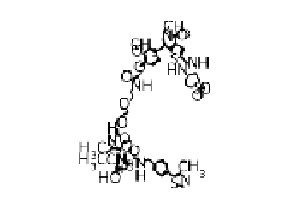 COc1cc(-c2cn(C)c(=O)c3cc(C(=N)NC4CCS(=O)(=O)CC4)sc23)ccc1OCC(=O)NCCOCCOCC(=O)N[C@H](C(=O)N1C[C@H](O)C[C@H]1C(=O)NCc1ccc(-c2scnc2C)cc1)C(C)(C)C